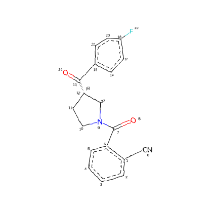 N#Cc1ccccc1C(=O)N1CC[C@H](C(=O)c2ccc(F)cc2)C1